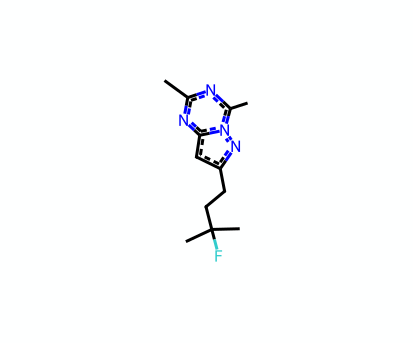 Cc1nc(C)n2nc(CCC(C)(C)F)cc2n1